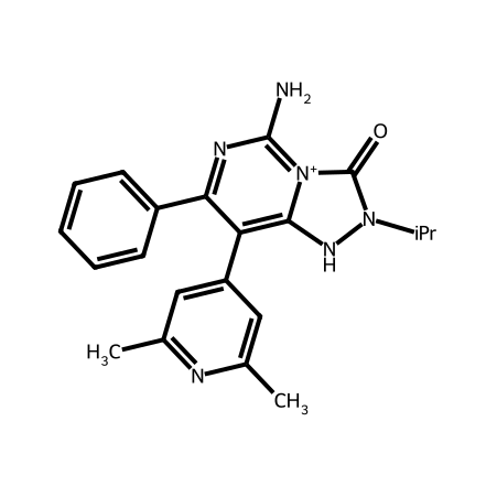 Cc1cc(-c2c(-c3ccccc3)nc(N)[n+]3c(=O)n(C(C)C)[nH]c23)cc(C)n1